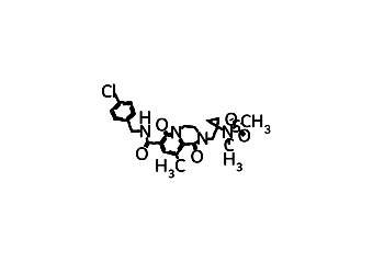 Cc1cc(C(=O)NCc2ccc(Cl)cc2)c(=O)n2c1C(=O)N(CC1(N(C)S(C)(=O)=O)CC1)CC2